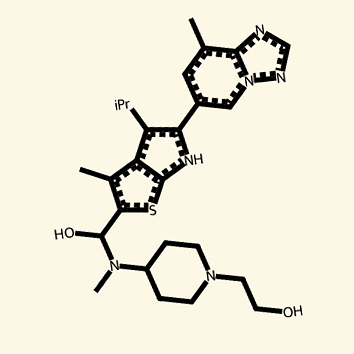 Cc1c(C(O)N(C)C2CCN(CCO)CC2)sc2[nH]c(-c3cc(C)c4ncnn4c3)c(C(C)C)c12